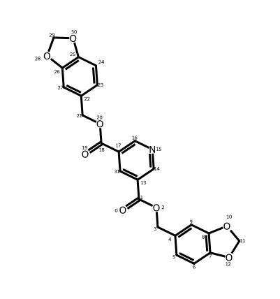 O=C(OCc1ccc2c(c1)OCO2)c1cncc(C(=O)OCc2ccc3c(c2)OCO3)c1